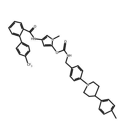 Cc1ccc(C2CCN(c3ccc(CNC(=O)Oc4cc(NC(=O)c5ccccc5-c5ccc(C(F)(F)F)cc5)cn4C)cc3)CC2)cc1